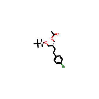 CC(=O)OC[C@H](CCc1ccc(Br)cc1)CO[Si](C)(C)C(C)(C)C